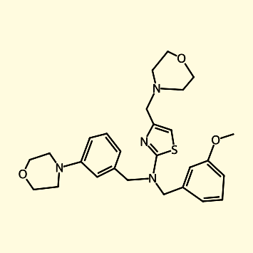 COc1cccc(CN(Cc2cccc(N3CCOCC3)c2)c2nc(CN3CCOCC3)cs2)c1